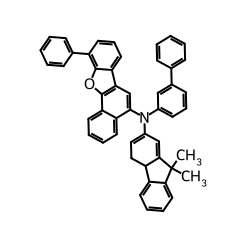 CC1(C)C2=CC(N(c3cccc(-c4ccccc4)c3)c3cc4c5cccc(-c6ccccc6)c5oc4c4ccccc34)=CCC2c2ccccc21